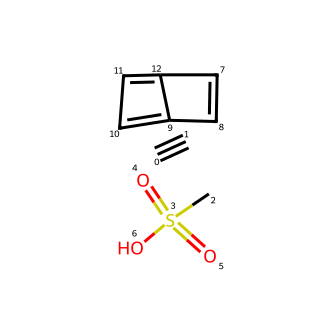 C#C.CS(=O)(=O)O.c1cc2ccc1-2